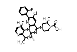 Cc1ccnc(C(C)C)c1-n1c(=O)nc(N2CCN(C(=O)O)C(C)C2)c2cc(Cl)c(-c3ccccc3F)nc21